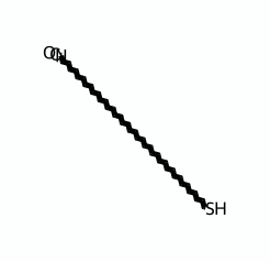 O=C=NCCCCCCCCCCCCCCCCCCCCCCCCCCCCCCCCCCCCCCCS